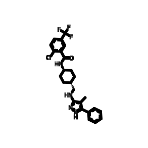 Cc1c(NC[C@H]2CC[C@H](NC(=O)c3cc(C(F)(F)F)ccc3Cl)CC2)n[nH]c1-c1ccccc1